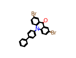 O=c1c2cc(Br)ccc2n(-c2ccc(-c3ccccc3)cc2)c2ccc(Br)cc12